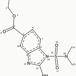 CCOC(=O)c1ccc2c(c1)nc(N)n2S(=O)(=O)N(C)C